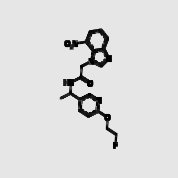 CC(NC(=O)Cn1cnc2cccc([N+](=O)[O-])c21)c1ccc(OCCF)nc1